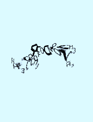 C/C=C(\C)OC(=O)N1CCC(OCc2cccc(C(=O)OC(C)(C)C)c2F)CC1